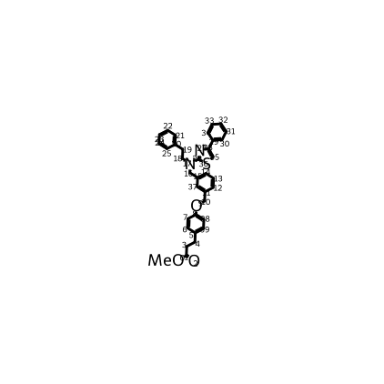 COC(=O)CCc1ccc(OCc2cccc(CN(CCc3ccccc3)c3nc(-c4ccccc4)cs3)c2)cc1